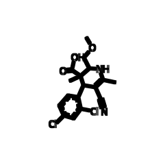 COCC1NC(C)=C(C#N)C(c2ccc(Cl)cc2Cl)C1(C)C(=O)O